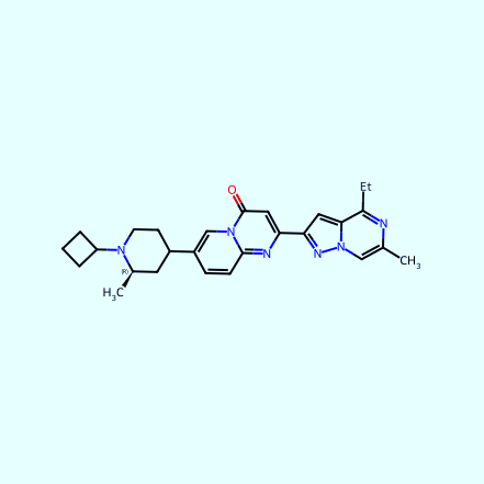 CCc1nc(C)cn2nc(-c3cc(=O)n4cc(C5CCN(C6CCC6)[C@H](C)C5)ccc4n3)cc12